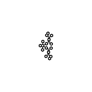 C1=CCCC(N(c2ccc(-c3c(-c4ccc(N(c5ccccc5)c5ccc(N(c6ccccc6)c6cccc7ccccc67)cc5)cc4)c(-c4ccccc4)c4ccccc4c3-c3ccccc3)cc2)c2ccc(N(c3ccccc3)c3cccc4ccccc34)cc2)=C1